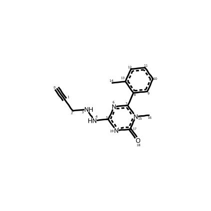 C#CCNNc1nc(-c2ccccc2C)n(C)c(=O)n1